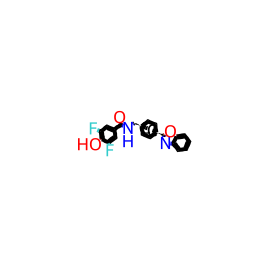 O=C(NC[C@]12CC[C@](c3nc4ccccc4o3)(CC1)CC2)c1cc(F)c(O)c(F)c1